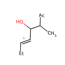 CC/C=C/C(O)C(C)C(C)=O